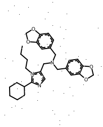 CCCCn1c(CN(Cc2ccc3c(c2)OCO3)Cc2ccc3c(c2)OCO3)cnc1C1CCCCC1